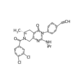 C#Cc1ccc(-n2c(NC(C)C)nc3c(c2=O)C[C@@H](C)N(C(=O)c2ccc(Cl)c(Cl)c2)C3)cc1